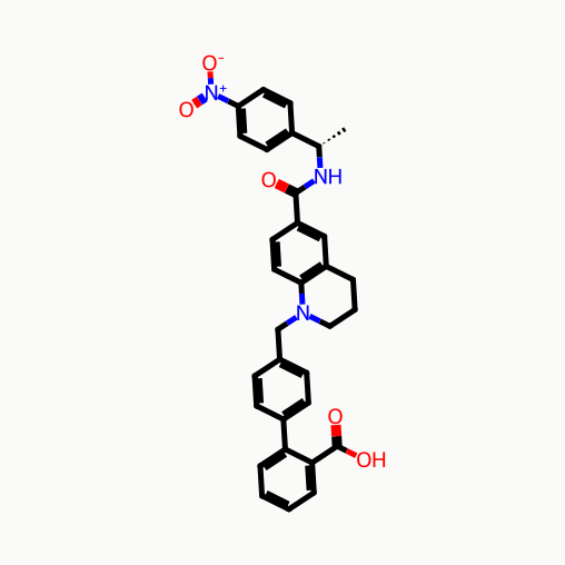 C[C@H](NC(=O)c1ccc2c(c1)CCCN2Cc1ccc(-c2ccccc2C(=O)O)cc1)c1ccc([N+](=O)[O-])cc1